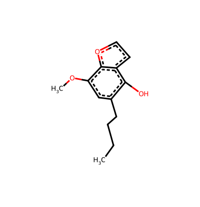 CCCCc1cc(OC)c2occc2c1O